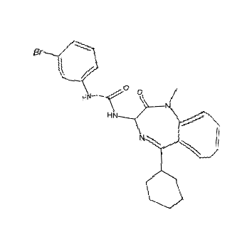 CN1C(=O)C(NC(=O)Nc2cccc(Br)c2)N=C(C2CCCCC2)c2ccccc21